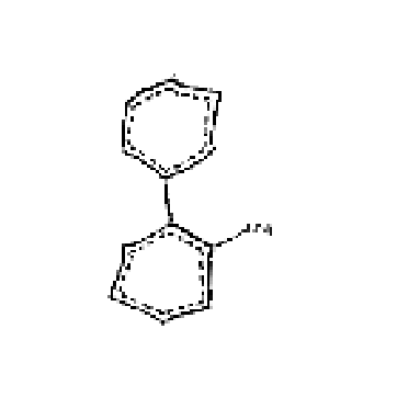 N#Cc1c[c]ccc1-c1cc[c]cc1